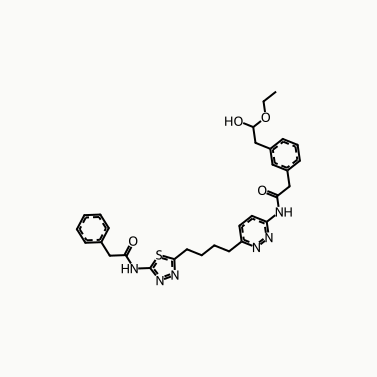 CCOC(O)Cc1cccc(CC(=O)Nc2ccc(CCCCc3nnc(NC(=O)Cc4ccccc4)s3)nn2)c1